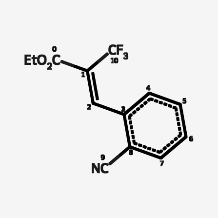 CCOC(=O)C(=Cc1ccccc1C#N)C(F)(F)F